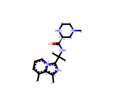 Cc1cccn2c(C(C)(C)NC(=O)[C@@H]3CN(C)CCN3)nc(C)c12